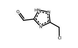 O=Cc1nc(CCl)n[nH]1